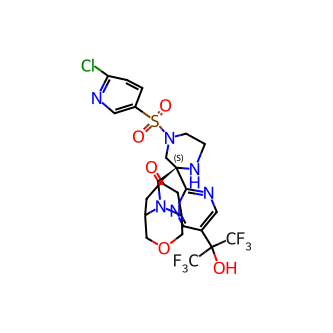 O=C1CC2COCC(C1)N2C[C@@]1(c2ncc(C(O)(C(F)(F)F)C(F)(F)F)cn2)CN(S(=O)(=O)c2ccc(Cl)nc2)CCN1